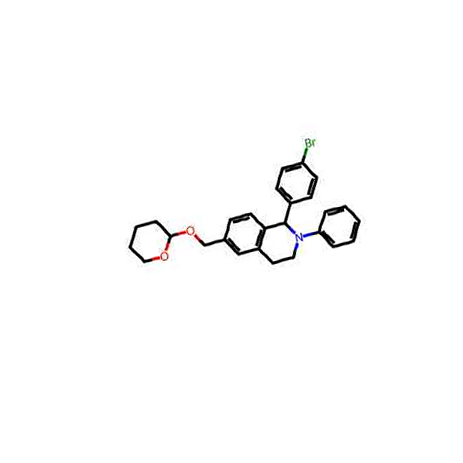 Brc1ccc(C2c3ccc(COC4CCCCO4)cc3CCN2c2ccccc2)cc1